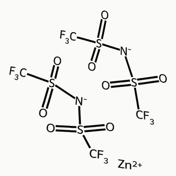 O=S(=O)([N-]S(=O)(=O)C(F)(F)F)C(F)(F)F.O=S(=O)([N-]S(=O)(=O)C(F)(F)F)C(F)(F)F.[Zn+2]